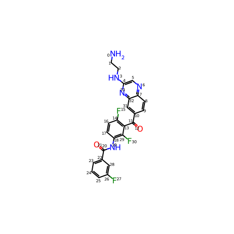 NCCNc1cnc2ccc(C(=O)c3c(F)ccc(NC(=O)c4cccc(F)c4)c3F)cc2n1